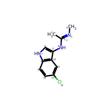 C/N=C(\C)Nc1c[nH]c2ccc(Cl)cc12